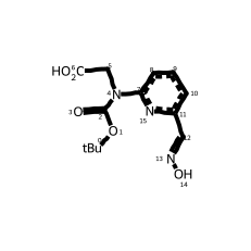 CC(C)(C)OC(=O)N(CC(=O)O)c1cccc(C=NO)n1